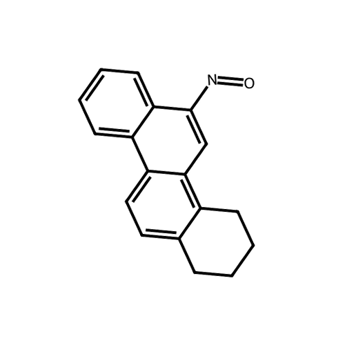 O=Nc1cc2c3c(ccc2c2ccccc12)CCCC3